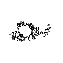 C=C1C[C@@H]2CC[C@@]3(O)C[C@@H](O)[C@@H]4CC5C4O[C@H]4CC[C@H](CC(=O)C[C@@H]6[C@@H](OC)[C@@H](C[C@H](O)COC(=O)c7ccc(CO)cc7)O[C@H]6C[C@H]6O[C@H](CCC6=C)CC[C@@H]1O2)O[C@@H]4[C@@H]5O3